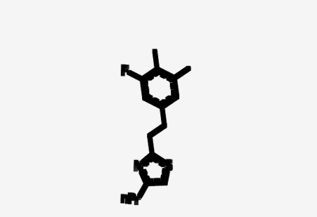 CCCc1csc(CCc2cc(C)c(C)c(F)c2)n1